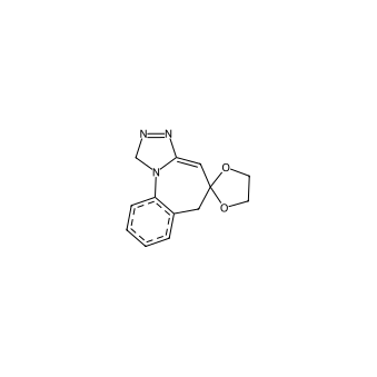 C1=C2N=NCN2c2ccccc2CC12OCCO2